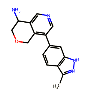 Cc1n[nH]c2cc(-c3cncc4c3COCC4N)ccc12